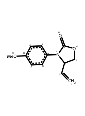 C=CC1COC(=O)N1c1ccc(OC)cc1